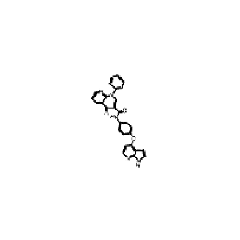 O=C(Nc1ccc(Oc2ccnc3[nH]ccc23)cc1)c1cn(-c2ccccc2)c2ncccc2c1=O